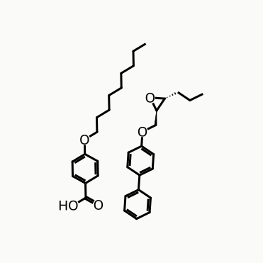 CCCCCCCCCOc1ccc(C(=O)O)cc1.CCC[C@H]1O[C@@H]1COc1ccc(-c2ccccc2)cc1